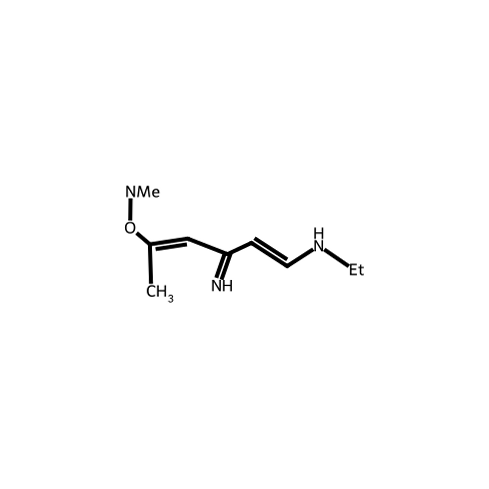 CCN/C=C/C(=N)/C=C(\C)ONC